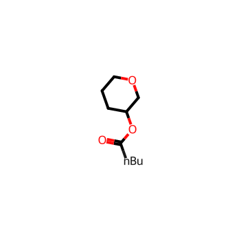 CCCCC(=O)OC1CCCOC1